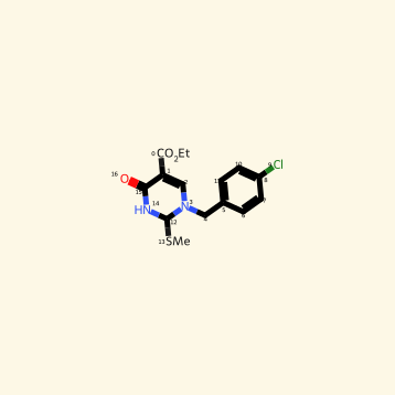 CCOC(=O)C1=CN(Cc2ccc(Cl)cc2)C(SC)NC1=O